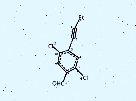 CCC#Cc1cc(Cl)c(C=O)cc1Cl